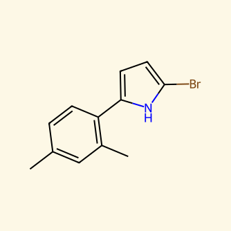 Cc1ccc(-c2ccc(Br)[nH]2)c(C)c1